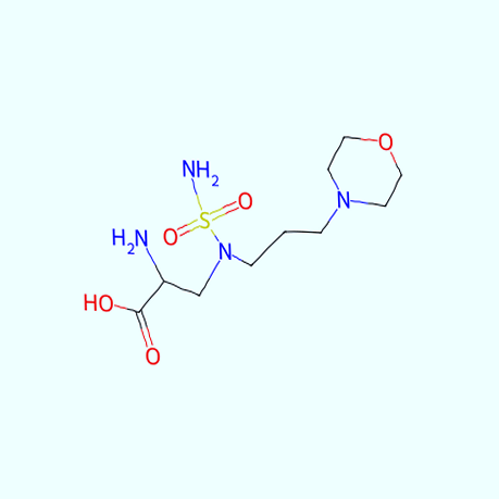 NC(CN(CCCN1CCOCC1)S(N)(=O)=O)C(=O)O